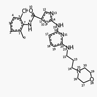 Cc1cccc(Cl)c1NC(=O)c1cnc(Nc2cccc(NCCCN3CCOCC3)n2)s1